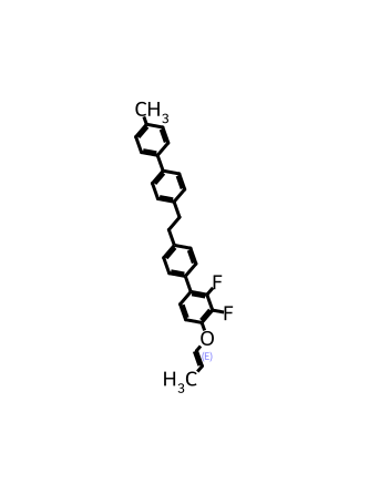 C/C=C/Oc1ccc(-c2ccc(CCc3ccc(-c4ccc(C)cc4)cc3)cc2)c(F)c1F